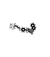 CN(C)CCCOc1ccc(-c2nnc(CS(=O)(=O)Cc3ccc4ccccc4c3)o2)cc1